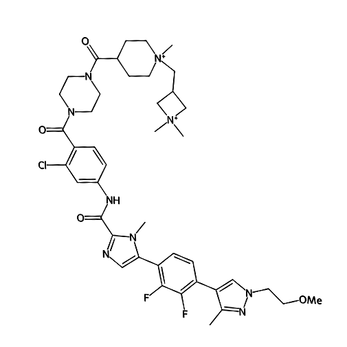 COCCn1cc(-c2ccc(-c3cnc(C(=O)Nc4ccc(C(=O)N5CCN(C(=O)C6CC[N+](C)(CC7C[N+](C)(C)C7)CC6)CC5)c(Cl)c4)n3C)c(F)c2F)c(C)n1